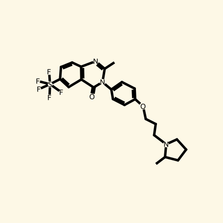 Cc1nc2ccc(S(F)(F)(F)(F)F)cc2c(=O)n1-c1ccc(OCCCN2CCCC2C)cc1